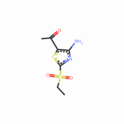 CCS(=O)(=O)c1nc(N)c(C(C)=O)s1